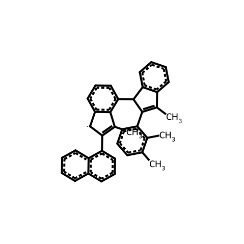 CC1=C(c2cccc(C)c2C)C(c2cccc3c2C(C)=C(c2cccc4ccccc24)[CH]3)c2ccccc21